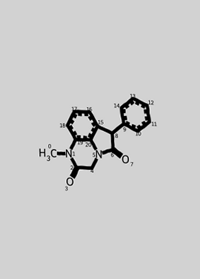 CN1C(=O)CN2C(=O)C(c3ccccc3)c3cccc1c32